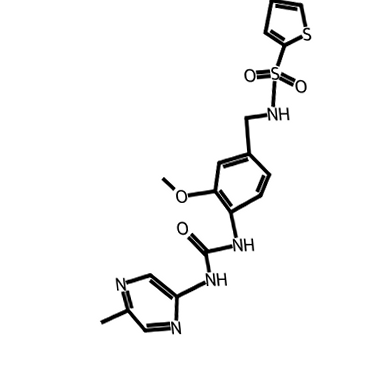 COc1cc(CNS(=O)(=O)c2cccs2)ccc1NC(=O)Nc1cnc(C)cn1